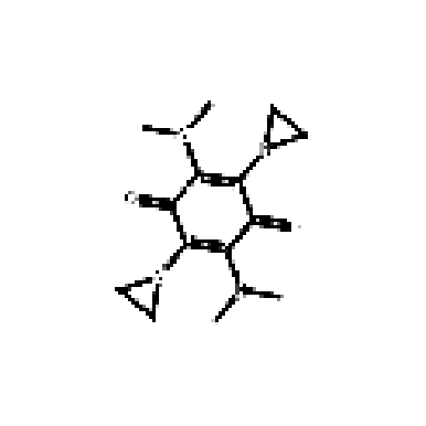 CN(C)C1=C(N2CC2)C(=O)C(N(C)C)=C(N2CC2)C1=O